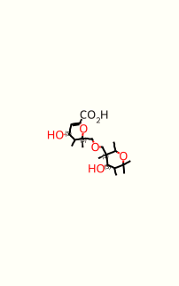 CC1[C@H](O)[C@](C)(COC[C@@]2(C)OC(C(=O)O)=C[C@@H](O)C2C)C(C)OC1(C)C